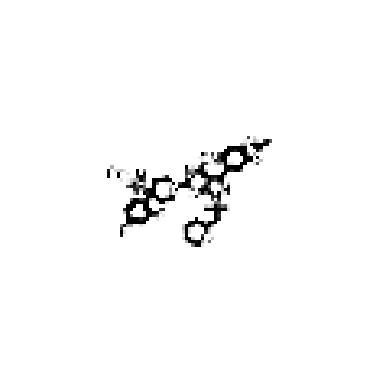 Cc1nc2ccc(-c3nn(C(C)(C)CC4CCCCO4)c4nc(N5CCC(NC(=O)O)(c6ccc(F)cc6F)CC5)nc(C#N)c34)cc2s1